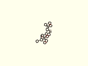 C[Si]1(C)c2cc(N(c3ccccc3)c3ccccc3-c3ccccc3)ccc2-c2cc3c4ccccc4c(N(c4ccccc4-c4ccccc4)c4c(F)cc(-c5ccccc5)cc4-c4ccccc4)cc3c3cccc1c23